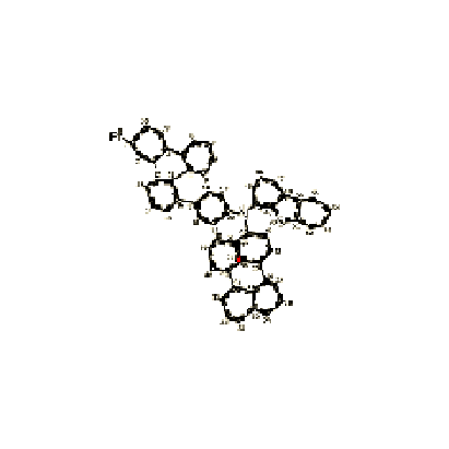 CC(C)c1ccc(-c2ccccc2-c2ccccc2-c2ccc(N(c3ccc(-c4cccc5cccc(-c6ccccc6)c45)cc3)c3cccc4c3sc3ccccc34)cc2)cc1